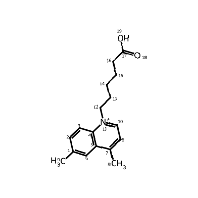 Cc1ccc2c(c1)c(C)cc[n+]2CCCCCC(=O)O